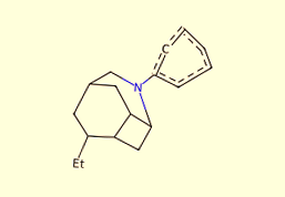 CCC1CC2CC3C1CC3N(c1ccccc1)C2